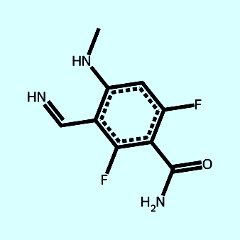 CNc1cc(F)c(C(N)=O)c(F)c1C=N